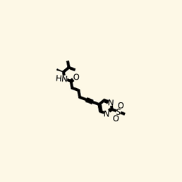 CC(C)[C@H](C)NC(=O)CCCC#Cc1cnc(S(C)(=O)=O)nc1